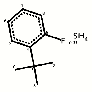 CC(C)(C)c1ccccc1F.[SiH4]